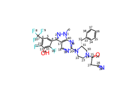 Cn1nc(-c2cc(C(F)(F)F)c(F)c(O)c2F)c2cnc(N3CCN(C(=O)CC#N)C[C@H]3Cc3ccccc3)nc21